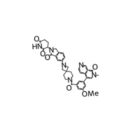 COc1cc(C(=O)N2CCC3(CC2)CN(c2ccc4c(c2)C(=O)N(C2CCC(=O)NC2=O)C4)C3)cc(-c2cn(C)c(=O)c3cnccc23)c1